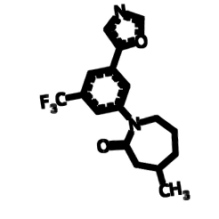 CC1CCCN(c2cc(-c3cnco3)cc(C(F)(F)F)c2)C(=O)C1